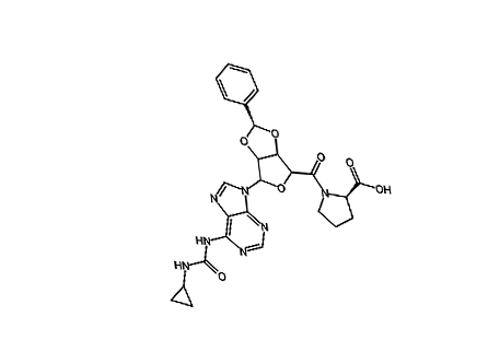 O=C(Nc1ncnc2c1ncn2C1OC(C(=O)N2CCC[C@@H]2C(=O)O)C2O[C@H](c3ccccc3)OC21)NC1CC1